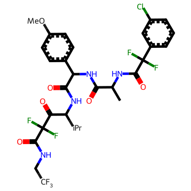 COc1ccc(C(NC(=O)C(C)NC(=O)C(F)(F)c2cccc(Cl)c2)C(=O)NC(C(=O)C(F)(F)C(=O)NCC(F)(F)F)C(C)C)cc1